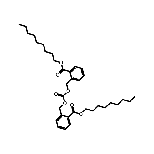 CCCCCCCCCOC(=O)c1ccccc1COC(=O)OCc1ccccc1C(=O)OCCCCCCCCC